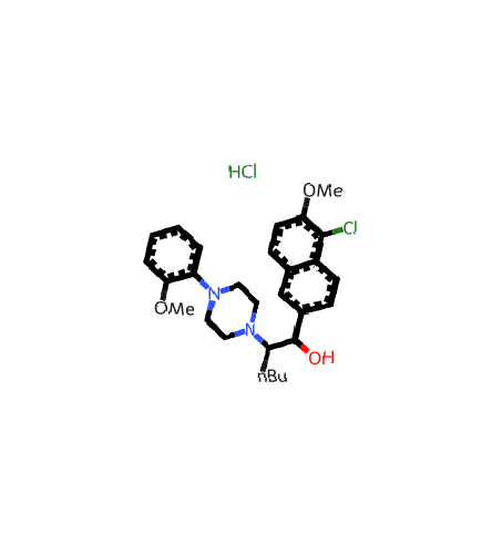 CCCCC(C(O)c1ccc2c(Cl)c(OC)ccc2c1)N1CCN(c2ccccc2OC)CC1.Cl